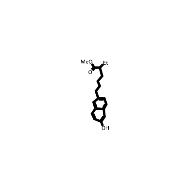 CCC(CCCCc1ccc2cc(O)ccc2c1)C(=O)OC